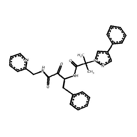 CC(C)(C(=O)NC(Cc1ccccc1)C(=O)C(=O)NCc1ccccn1)n1cc(-c2ccccc2)cn1